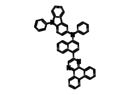 c1ccc(N(c2ccc3c(c2)c2ccccc2n3-c2ccccc2)c2ccc(-c3cnc4c5ccccc5c5ccccc5c4n3)c3ccccc23)cc1